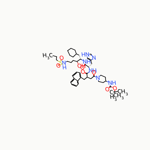 CCCS(=O)(=O)NCCC[C@H](O)[C@H](CC1CCCCC1)NC(=O)[C@H](Cc1c[nH]cn1)NC(=O)C(CC(=O)N1CCC(NC(=O)OC(C)(C)C)CC1)Cc1cccc2ccccc12